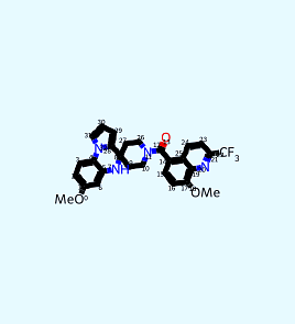 COc1ccc2c(c1)NC1(CCN(C(=O)c3ccc(OC)c4nc(C(F)(F)F)ccc34)CC1)c1cccn1-2